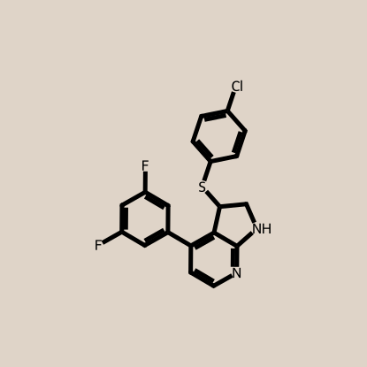 Fc1cc(F)cc(-c2ccnc3c2C(Sc2ccc(Cl)cc2)CN3)c1